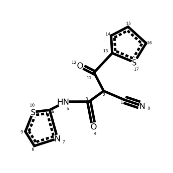 N#CC(C(=O)Nc1nccs1)C(=O)c1cccs1